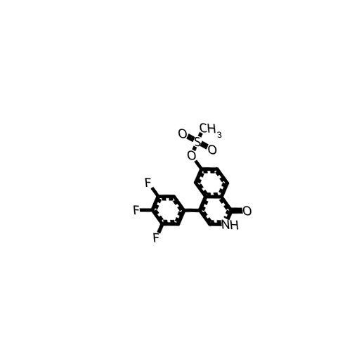 CS(=O)(=O)Oc1ccc2c(=O)[nH]cc(-c3cc(F)c(F)c(F)c3)c2c1